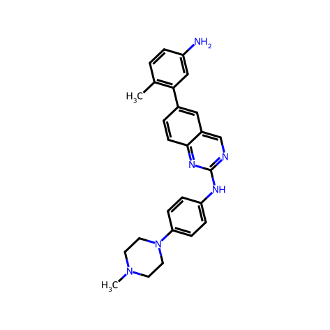 Cc1ccc(N)cc1-c1ccc2nc(Nc3ccc(N4CCN(C)CC4)cc3)ncc2c1